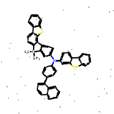 C[Si]1(C)c2cc(N(c3ccc(-c4cccc5ccccc45)cc3)c3ccc4c(c3)sc3ccccc34)ccc2-c2c1ccc1c2sc2ccccc21